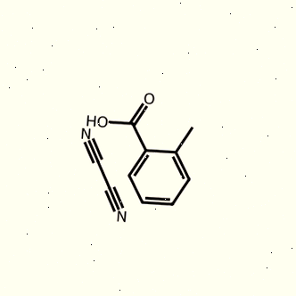 Cc1ccccc1C(=O)O.N#CC#N